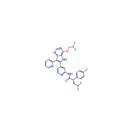 O=C(Nc1cc(-c2[nH]c3c(OCC(F)F)ncnc3c2-c2ccccn2)ccn1)[C@H](CC(F)F)c1ccc(F)cc1